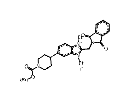 CCn1c(CN2C(=O)c3ccccc3C2=O)[n+](CC)c2ccc(C3CCN(C(=O)OC(C)(C)C)CC3)cc21.[I-]